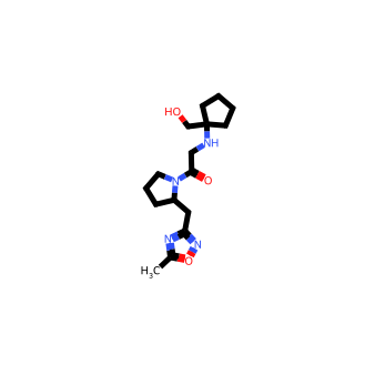 Cc1nc(CC2CCCN2C(=O)CNC2(CO)CCCC2)no1